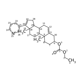 CCOC(=O)OC1CCC2(C)C(=CCC3C2CCC2(C)C(c4cccnc4)=CCC32)C1